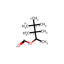 CC(OC=O)C(C)(C)C(C)(C)C